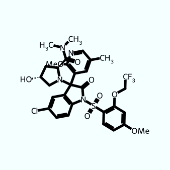 COc1ccc(S(=O)(=O)N2C(=O)C(c3cc(C)cnc3OC)(N3C[C@H](O)C[C@H]3C(=O)N(C)C)c3cc(Cl)ccc32)c(OCC(F)(F)F)c1